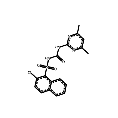 Cc1cc(C)nc(NC(=O)NS(=O)(=O)c2c(Cl)ccc3ccccc23)n1